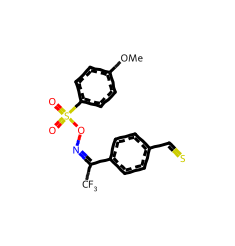 COc1ccc(S(=O)(=O)ON=C(c2ccc(C=S)cc2)C(F)(F)F)cc1